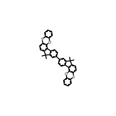 CC1(C)c2cc(-c3ccc4c(c3)C(C)(C)c3ccc5c(c3-4)Oc3ccccc3S5)ccc2-c2c1ccc1c2Oc2ccccc2S1